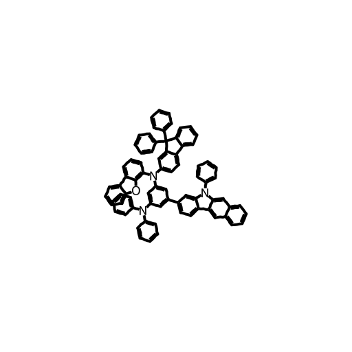 c1ccc(N(c2ccccc2)c2cc(-c3ccc4c5cc6ccccc6cc5n(-c5ccccc5)c4c3)cc(N(c3ccc4c(c3)C(c3ccccc3)(c3ccccc3)c3ccccc3-4)c3cccc4c3oc3ccccc34)c2)cc1